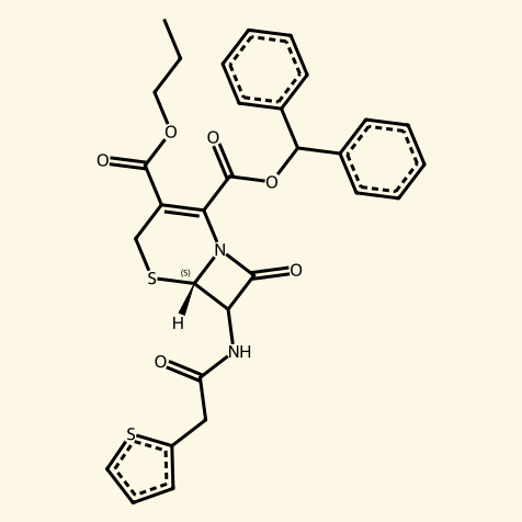 CCCOC(=O)C1=C(C(=O)OC(c2ccccc2)c2ccccc2)N2C(=O)C(NC(=O)Cc3cccs3)[C@@H]2SC1